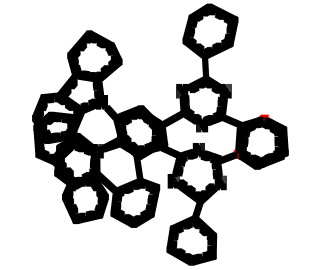 c1ccc(-c2nc(-c3ccccc3)nc(-c3ccc(-n4c5ccccc5c5ccccc54)c(-c4ccccc4-c4ccccc4-c4cc(-c5nc(-c6ccccc6)nc(-c6ccccc6)n5)ccc4-n4c5ccccc5c5ccccc54)c3)n2)cc1